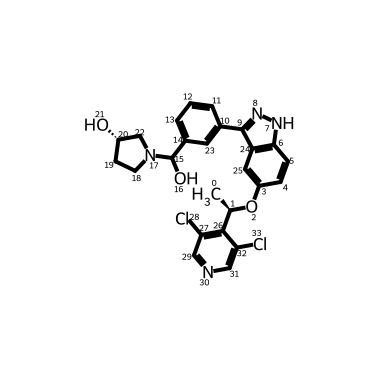 C[C@@H](Oc1ccc2[nH]nc(-c3cccc(C(O)N4CC[C@H](O)C4)c3)c2c1)c1c(Cl)cncc1Cl